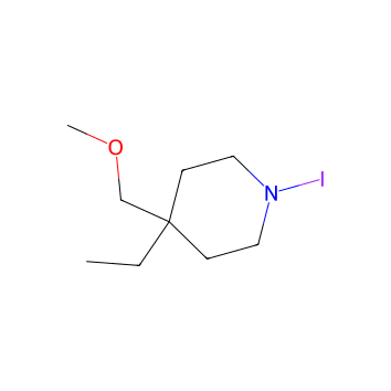 CCC1(COC)CCN(I)CC1